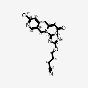 Cc1cc(=O)n2nc(OCCCC#N)nc2n1Cc1ccc(Cl)nc1